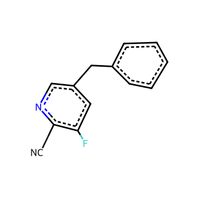 N#Cc1ncc(Cc2ccccc2)cc1F